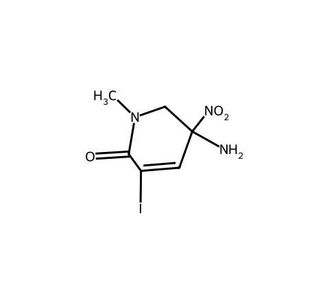 CN1CC(N)([N+](=O)[O-])C=C(I)C1=O